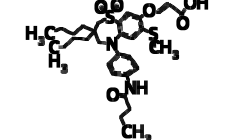 CCCCC1(CCCC)CN(c2ccc(NC(=O)CCC)cc2)c2cc(SC)c(OC=CC(=O)O)cc2S(=O)(=O)C1